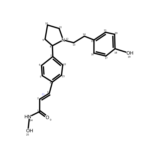 O=C(/C=C/c1ccc(C2CCCN2CCc2ccc(O)cc2)cc1)NO